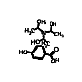 CC(O)N(C(C)O)C(C)O.O=C(O)c1ccc(O)cc1